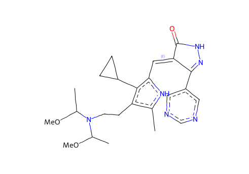 COC(C)N(CCc1c(C)[nH]c(/C=C2/C(=O)NN=C2c2cncnc2)c1C1CC1)C(C)OC